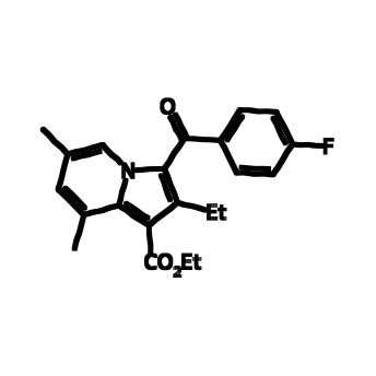 CCOC(=O)c1c(CC)c(C(=O)c2ccc(F)cc2)n2cc(C)cc(C)c12